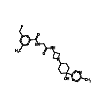 Cc1cc(CF)cc(C(=O)NCC(=O)NC2CN(C3CCC(O)(c4ccc(C)nc4)CC3)C2)c1